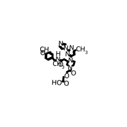 COc1ccc(C(C)NC(=O)CC2CN(C(=O)COCC(=O)O)CCN2c2cc(C)nc(-n3ccnc3)n2)cc1